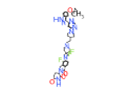 CC1(Oc2ccc3[nH]nc(-c4cc(N5CCC(CCN6CCC7(CN(c8ccc9c(c8F)CN(C8CCC(=O)NC8=O)C9=O)C7)C(F)(F)C6)CC5)ncn4)c3c2)CC1